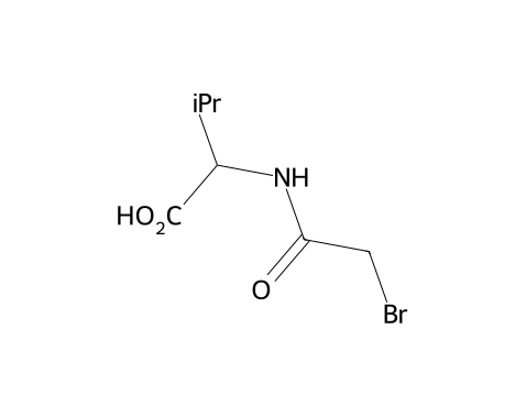 CC(C)C(NC(=O)CBr)C(=O)O